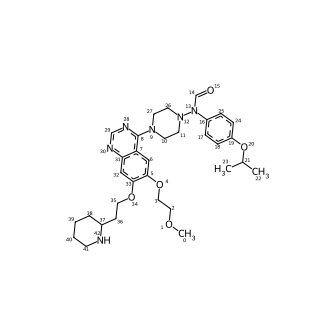 COCCOc1cc2c(N3CCN(N(C=O)c4ccc(OC(C)C)cc4)CC3)ncnc2cc1OCCC1CCCCN1